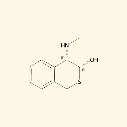 CN[C@H]1c2ccccc2CS[C@H]1O